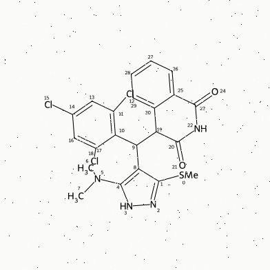 CSc1n[nH]c(N(C)C)c1C(c1c(Cl)cc(Cl)cc1Cl)C1C(=O)NC(=O)c2ccccc21